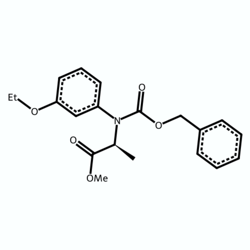 CCOc1cccc(N(C(=O)OCc2ccccc2)[C@@H](C)C(=O)OC)c1